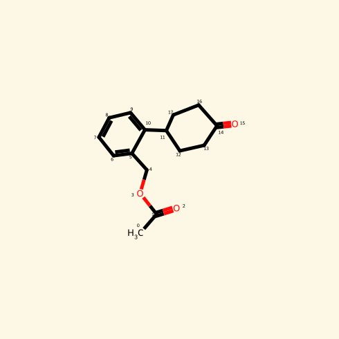 CC(=O)OCc1ccccc1C1CCC(=O)CC1